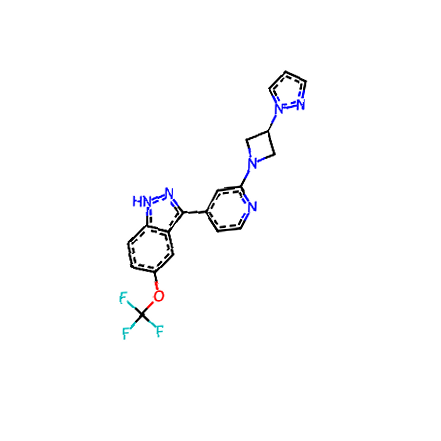 FC(F)(F)Oc1ccc2[nH]nc(-c3ccnc(N4CC(n5cccn5)C4)c3)c2c1